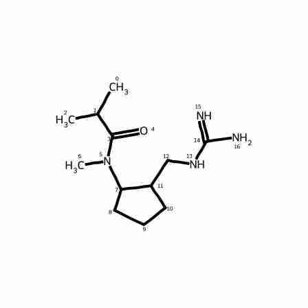 CC(C)C(=O)N(C)C1CCCC1CNC(=N)N